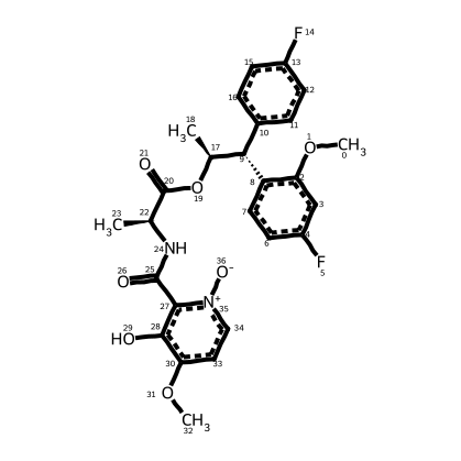 COc1cc(F)ccc1[C@@H](c1ccc(F)cc1)[C@H](C)OC(=O)[C@H](C)NC(=O)c1c(O)c(OC)cc[n+]1[O-]